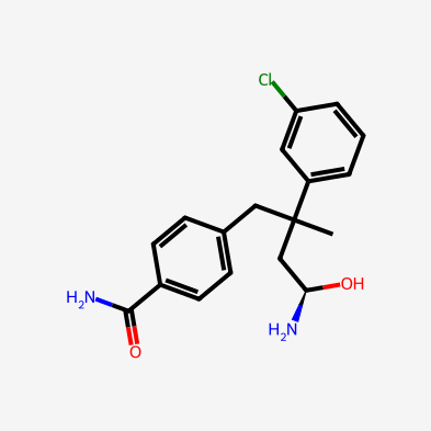 CC(Cc1ccc(C(N)=O)cc1)(C[C@H](N)O)c1cccc(Cl)c1